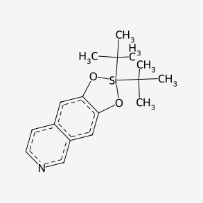 CC(C)(C)[Si]1(C(C)(C)C)Oc2cc3ccncc3cc2O1